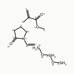 C=C(C)C(=O)OC.C=CN1CCCC1=O.[SiH3]O[SiH2]O[SiH3]